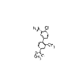 COC(=O)c1ccc(-c2ccc(Cl)c(N)c2)c(C)c1